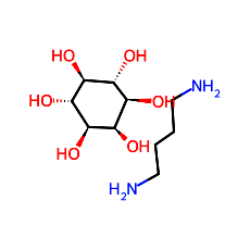 NCCCCN.O[C@H]1[C@H](O)[C@@H](O)[C@H](O)[C@@H](O)[C@H]1O